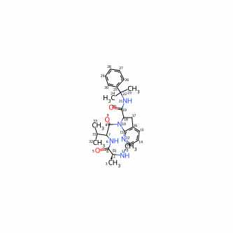 CN[C@@H](C)C(=O)NC(C(=O)N1c2ncccc2CC1C(=O)NC(C)(C)c1ccccc1)C(C)C